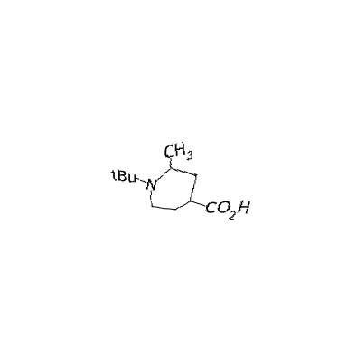 CC1CC(C(=O)O)CCN1C(C)(C)C